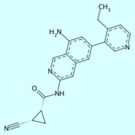 CCc1ccncc1-c1cc(N)c2cnc(NC(=O)[C@@H]3C[C@@H]3C#N)cc2c1